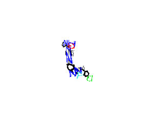 C[C@@H]1CN(c2ccc3ncn([C@H](C)c4ccc(Cl)cc4F)c3c2)CCN1C(=O)C1CCCN1